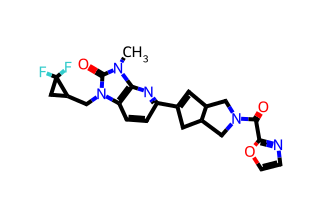 Cn1c(=O)n(CC2CC2(F)F)c2ccc(C3=CC4CN(C(=O)c5ncco5)CC4C3)nc21